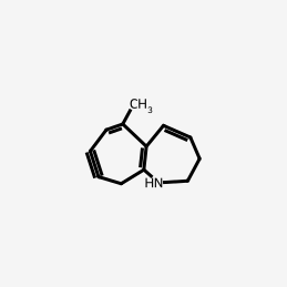 CC1=CC#CCC2=C1C=CCCN2